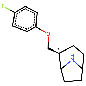 Fc1ccc(OC[C@H]2CCC3CCC2N3)cc1